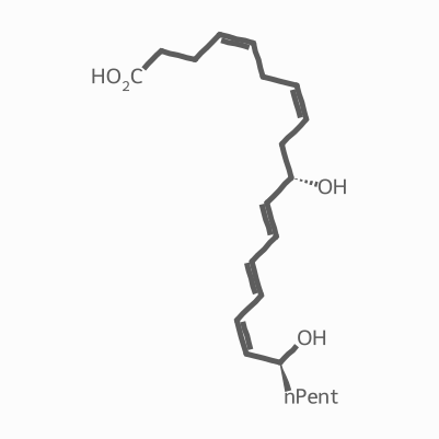 CCCCC[C@H](O)\C=C/C=C/C=C/[C@@H](O)C/C=C\C/C=C\CCC(=O)O